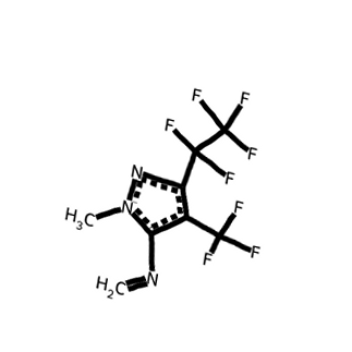 C=Nc1c(C(F)(F)F)c(C(F)(F)C(F)(F)F)nn1C